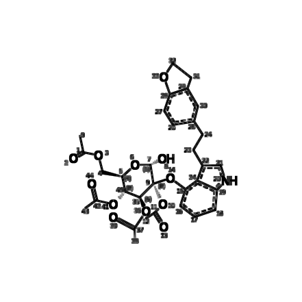 CC(=O)OC[C@H]1O[C@H](O)[C@@](OC(C)=O)(Oc2cccc3[nH]cc(CCc4ccc5c(c4)CCO5)c23)[C@@H](OC(C)=O)[C@@H]1OC(C)=O